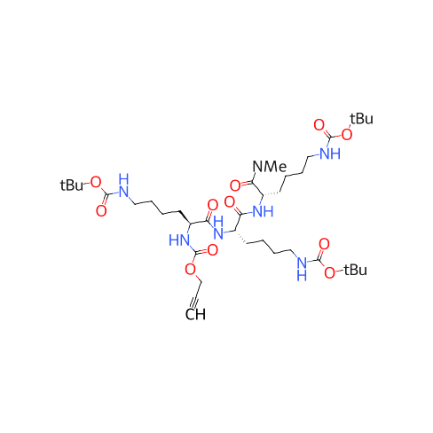 C#CCOC(=O)N[C@@H](CCCCNC(=O)OC(C)(C)C)C(=O)N[C@@H](CCCCNC(=O)OC(C)(C)C)C(=O)N[C@@H](CCCCNC(=O)OC(C)(C)C)C(=O)NC